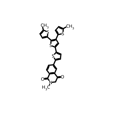 Cc1ccc(-c2cc(-c3ccc(-c4ccc5c(c4)C(=O)CN(C)C5=O)s3)sc2-c2ccc(C)s2)s1